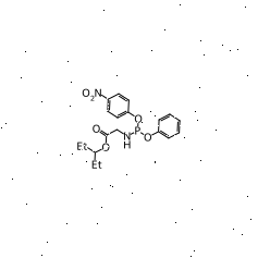 CCC(CC)OC(=O)CNP(Oc1ccccc1)Oc1ccc([N+](=O)[O-])cc1